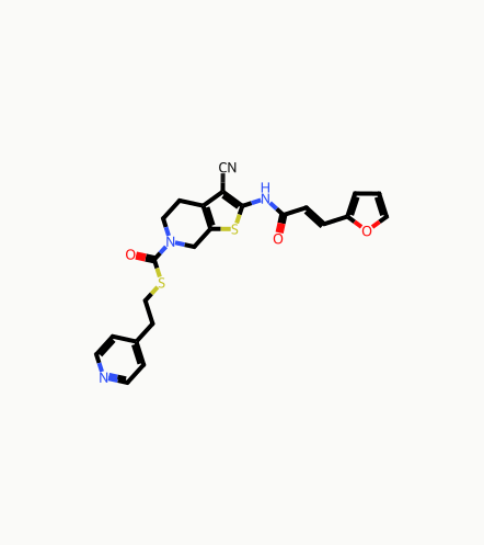 N#Cc1c(NC(=O)C=Cc2ccco2)sc2c1CCN(C(=O)SCCc1ccncc1)C2